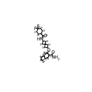 NC(=O)c1cc2sccc2nc1OC1CC2(CC(NC(=O)C3CCC(F)(F)CC3)C2)C1